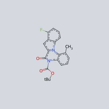 Cc1cccc2c1n1c(cc3c(F)cccc31)c(=O)n2C(=O)OC(C)(C)C